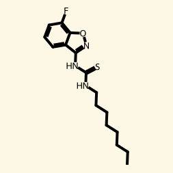 CCCCCCCCNC(=S)Nc1noc2c(F)cccc12